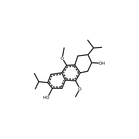 COc1c2c(c(OC)c3cc(C(C)C)c(O)cc13)CC(C(C)C)C(O)C2